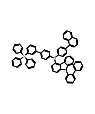 c1ccc(-c2ccccc2-n2c3ccccc3c3c(N(c4ccc(-c5cccc([Si](c6ccccc6)(c6ccccc6)c6ccccc6)c5)cc4)c4ccc(-c5cccc6ccccc56)cc4)cccc32)cc1